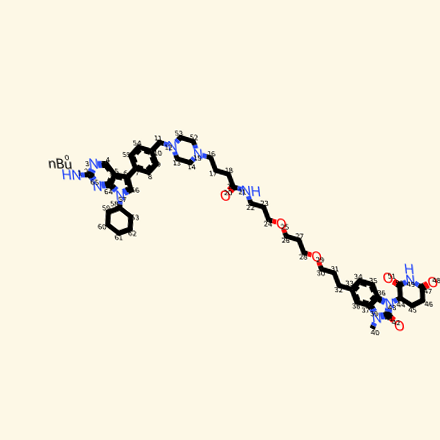 CCCCNc1ncc2c(-c3ccc(CN4CCN(CCCC(=O)NCCCOCCCOCCCc5ccc6c(c5)n(C)c(=O)n6C5CCC(=O)NC5=O)CC4)cc3)cn(C3CCCCC3)c2n1